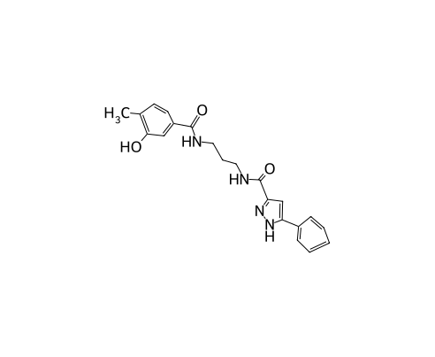 Cc1ccc(C(=O)NCCCNC(=O)c2cc(-c3ccccc3)[nH]n2)cc1O